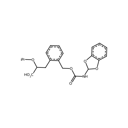 CC(C)OC(Cc1ccccc1COC(=O)NC1Oc2ccccc2O1)C(=O)O